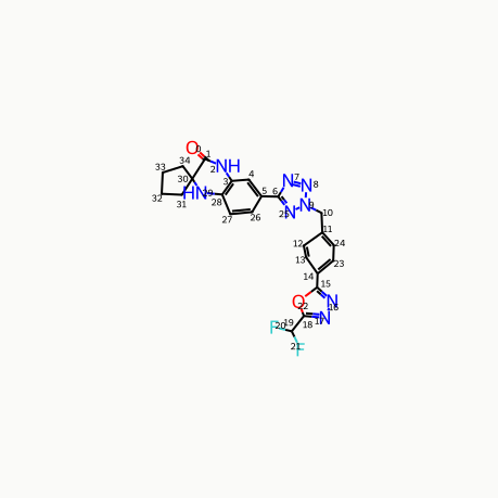 O=C1Nc2cc(-c3nnn(Cc4ccc(-c5nnc(C(F)F)o5)cc4)n3)ccc2NC12CCCC2